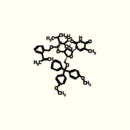 C=C(C)c1ccccc1COP(OC1C[C@H](n2cc(C)c(=O)[nH]c2=O)O[C@@H]1COC(c1ccccc1)(c1ccc(OC)cc1)c1ccc(OC)cc1)N(C(C)C)C(C)C